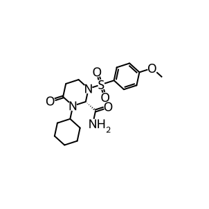 COc1ccc(S(=O)(=O)N2CCC(=O)N(C3CCCCC3)[C@H]2C(N)=O)cc1